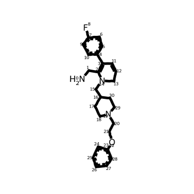 NCC1=C(c2ccc(F)cc2)C=CCN1CC1CCN(CCOc2ccccc2)CC1